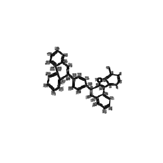 Cc1cccc2c1oc1c(-c3ccc(-c4cc5ccccc5c5ccccc45)cc3)cc3ccccc3c12